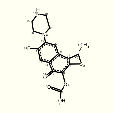 C[C@@H]1Sc2c(OC(=O)O)c(=O)c3cc(F)c(N4CCNCC4)cc3n21